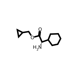 N[C@H](C(=O)OCC1CC1)C1CCCCC1